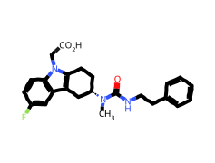 CN(C(=O)NCCc1ccccc1)[C@H]1CCc2c(c3cc(F)ccc3n2CC(=O)O)C1